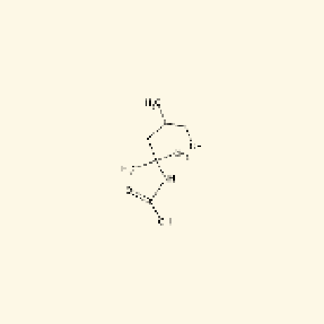 CC(CO)CC(C)(C)NC(=O)O